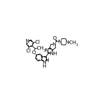 CC(Oc1ccc2[nH]nc(-c3nc4c([nH]3)CN(C(=O)N3CCN(C)CC3)C4)c2c1)c1c(Cl)cncc1Cl